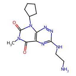 Cn1c(=O)c2nc(NCCN)nnc2n(C2CCCC2)c1=O